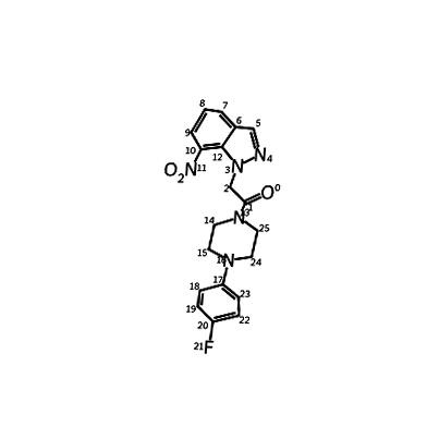 O=C(Cn1ncc2cccc([N+](=O)[O-])c21)N1CCN(c2ccc(F)cc2)CC1